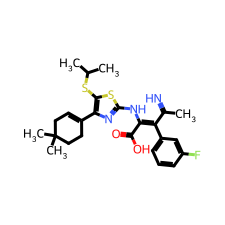 CC(=N)/C(=C(\Nc1nc(C2=CCC(C)(C)CC2)c(SC(C)C)s1)C(=O)O)c1cccc(F)c1